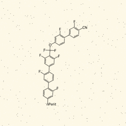 CCCCCc1ccc(-c2ccc(-c3cc(F)c(C(F)(F)Oc4ccc(-c5ccc(C#N)c(F)c5)c(F)c4)c(F)c3)c(F)c2)c(F)c1